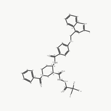 Cc1cc(COc2ccc(C(=O)N[C@@H]3CCN(C(=O)c4ccccc4)C[C@@H]3C(=O)NOC(=O)C(F)(F)F)cc2)c2ccccc2n1